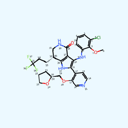 COc1c(Cl)cccc1Nc1c(-c2ccncc2OC[C@@H]2CCCO2)[nH]c2c1C(=O)NC[C@H]2CCC(F)(F)F